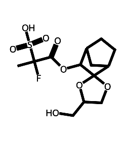 CC(F)(C(=O)OC1C2CCC(C2)C12OCC(CO)O2)S(=O)(=O)O